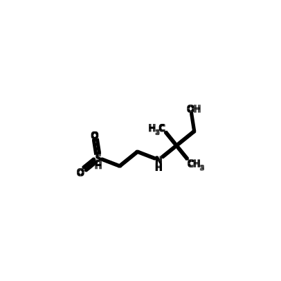 CC(C)(CO)NCC[SH](=O)=O